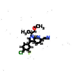 COCC(C)n1cc(-c2ccc(Cl)c(F)c2)c2ccc(C#N)nc21